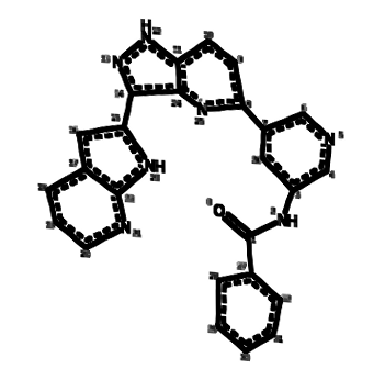 O=C(Nc1cncc(-c2ccc3[nH]nc(-c4cc5cccnc5[nH]4)c3n2)c1)c1ccccc1